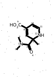 CN(C)C(=O)C1(C)C=C(C(=O)O)C=CN1